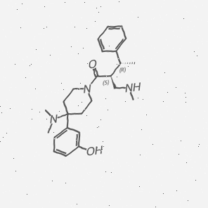 CNC[C@@H](C(=O)N1CCC(c2cccc(O)c2)(N(C)C)CC1)[C@@H](C)c1ccccc1